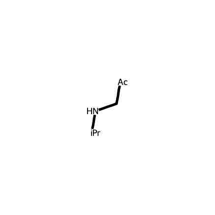 CC(=O)CNC(C)C